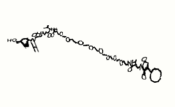 CC(C)[C@H](NC(=O)CCOCCOCCOCCOCCOCCOCCOCCOCCNC(=O)CCN1C(=O)CC(C2CCCCCCCCC2)C1=O)C(=O)NCC(=O)Nc1ccc(CO)cc1